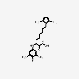 Cc1cc(N[C@H](CCCCCCn2c(C)ccc2C)C(=O)NO)cc(C)c1F